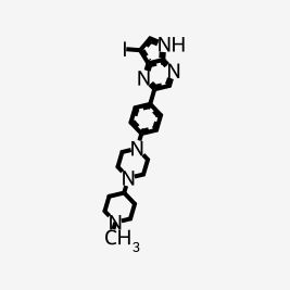 CN1CCC(N2CCN(c3ccc(-c4cnc5[nH]cc(I)c5n4)cc3)CC2)CC1